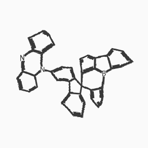 C1=CC2=Nc3ccccc3N(c3ccc4c(c3)-c3ccccc3C43c4ccccc4B4c5ccccc5-c5cccc3c54)C2C=C1